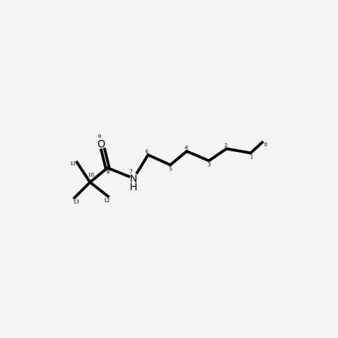 CCCCCCCNC(=O)C(C)(C)C